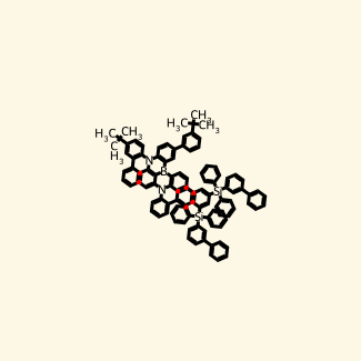 CC(C)(C)c1cccc(-c2ccc3c(c2)B2c4ccc(-c5cc([Si](c6ccccc6)(c6ccccc6)c6cccc(-c7ccccc7)c6)cc([Si](c6ccccc6)(c6ccccc6)c6cccc(-c7ccccc7)c6)c5)cc4N(c4ccccc4-c4ccccc4)c4cccc(c42)N3c2ccc(C(C)(C)C)cc2-c2ccccc2)c1